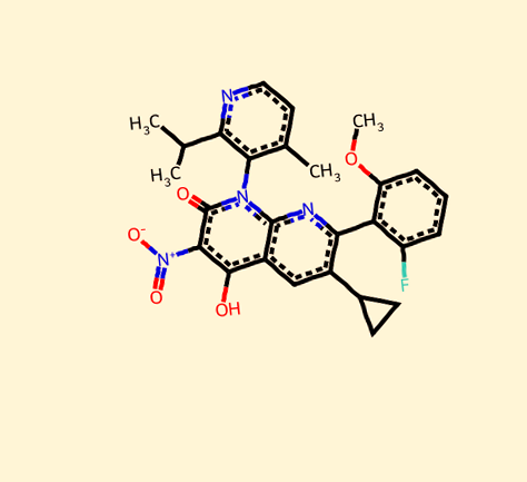 COc1cccc(F)c1-c1nc2c(cc1C1CC1)c(O)c([N+](=O)[O-])c(=O)n2-c1c(C)ccnc1C(C)C